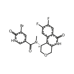 CN(C(=O)c1c[nH]c(=O)c(Br)c1)[C@H]1COCc2[nH]c(=O)c3cc(F)c(F)cc3c21